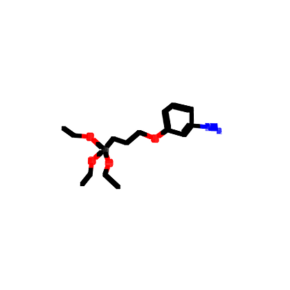 CCO[Si](CCCOc1cccc(N)c1)(OCC)OCC